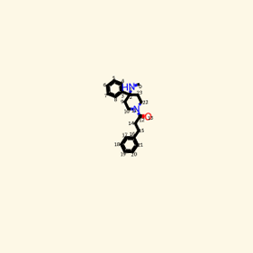 CNC1(c2ccccc2)CCN(C(=O)CCc2ccccc2)CC1